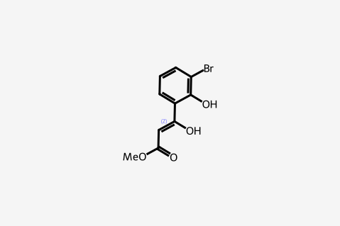 COC(=O)/C=C(\O)c1cccc(Br)c1O